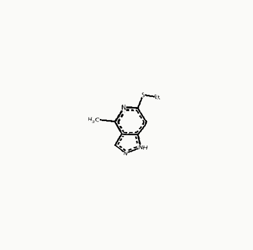 CCSc1cc2[nH]ncc2c(C)n1